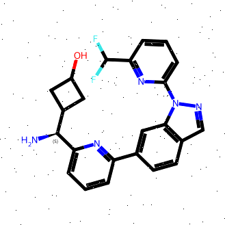 N[C@H](c1cccc(-c2ccc3cnn(-c4cccc(C(F)F)n4)c3c2)n1)C1CC(O)C1